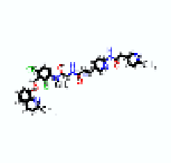 Cc1ccc(CC(=O)Nc2ccc(/C=C/C(=O)NCC(=O)N(C)c3ccc(Cl)c(COc4cccc5ccc(C)nc45)c3Cl)cn2)cn1